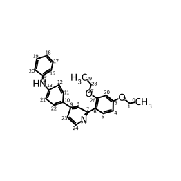 CCOc1ccc(-c2cc(-c3ccc(Nc4ccccc4)cc3)ccn2)c(OCC)c1